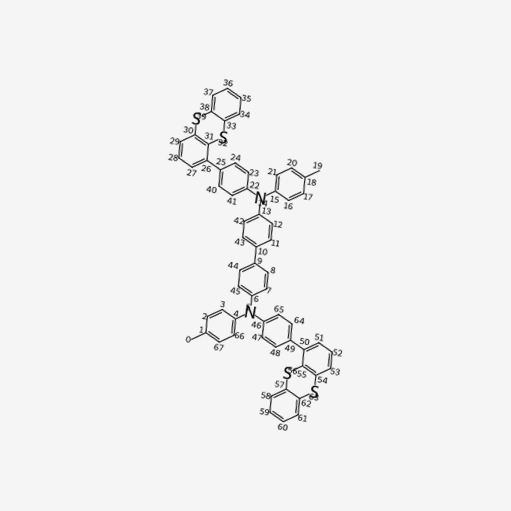 Cc1ccc(N(c2ccc(-c3ccc(N(c4ccc(C)cc4)c4ccc(-c5cccc6c5Sc5ccccc5S6)cc4)cc3)cc2)c2ccc(-c3cccc4c3Sc3ccccc3S4)cc2)cc1